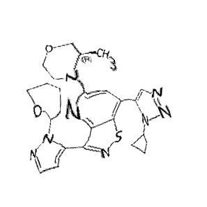 C[C@@H]1COCCN1c1cc(-c2cnnn2C2CC2)c2snc(-c3ccnn3C3CCCCO3)c2n1